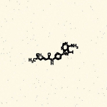 CN(C)C/C=C/C(=O)Nc1ccc(-n2nc(I)c3c(N)ncnc32)cc1